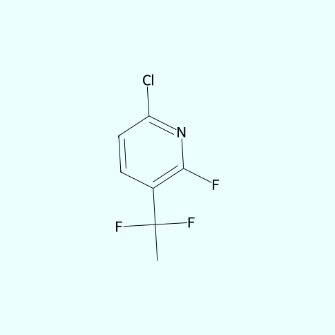 CC(F)(F)c1ccc(Cl)nc1F